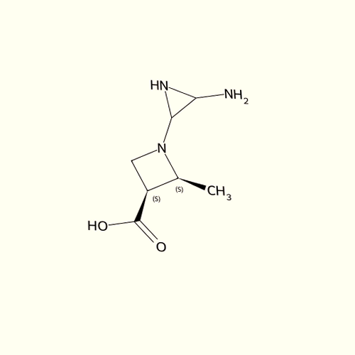 C[C@H]1[C@@H](C(=O)O)CN1C1NC1N